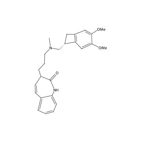 COc1cc2c(cc1OC)[C@H](CN(C)CCCC1C=Cc3ccccc3NC1=O)C2